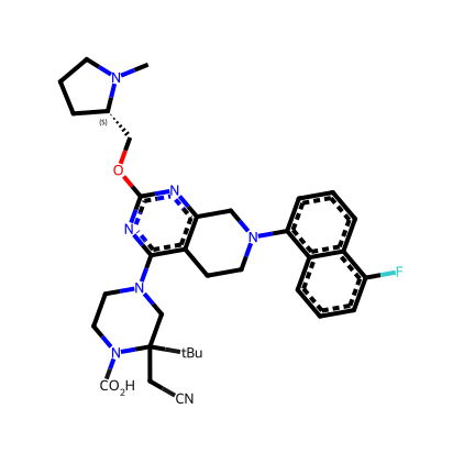 CN1CCC[C@H]1COc1nc2c(c(N3CCN(C(=O)O)C(CC#N)(C(C)(C)C)C3)n1)CCN(c1cccc3c(F)cccc13)C2